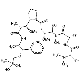 CC[C@H](C)[C@@H]([C@@H](CC(=O)N1CCC[C@H]1[C@@H](OC)[C@@H](C)C(=O)N[C@H](C)[C@@H](OC[Si](C)(C)O)c1ccccc1)OC)N(C)C(=O)[C@@H](NC(=O)[C@H](C(C)C)N(C)C)C(C)C